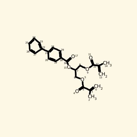 C=C(C)C(=O)OCC(COC(=O)C(=C)C)OC(=O)c1ccc(-c2ccccc2)cc1